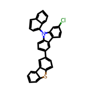 Clc1ccc2c3cc(-c4ccc5sc6ccccc6c5c4)ccc3n(-c3cccc4ccccc34)c2c1